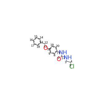 O=C(NCCCl)Nc1ccc(OCc2ccccc2)cc1